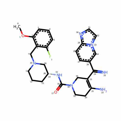 COc1cccc(F)c1CN1CCC[C@@H](NC(=O)N2CCC(N)=C(C(=N)c3ccc4nccn4c3)C2)C1